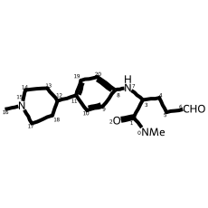 CNC(=O)C(CCC=O)Nc1ccc(C2CCN(C)CC2)cc1